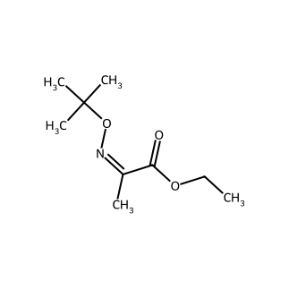 CCOC(=O)/C(C)=N\OC(C)(C)C